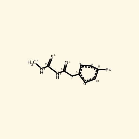 CNC(=S)NC(=O)Cc1ccc(F)cc1